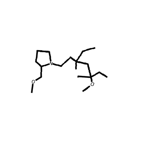 CCC(C)(CCN1CCCC1COC)CC(C)(CC)OC